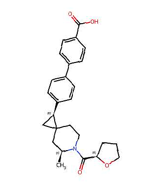 C[C@H]1CC2(CCN1C(=O)[C@H]1CCCO1)C[C@H]2c1ccc(-c2ccc(C(=O)O)cc2)cc1